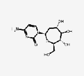 Nc1ccn([C@H]2C[C@H](O)[C@@H](O)[C@H](O)[C@@H](CO)O2)c(=O)n1